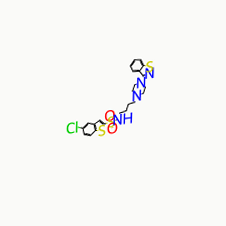 O=S(=O)(NCCCCN1CCN(c2nsc3ccccc23)CC1)c1cc2cc(Cl)ccc2s1